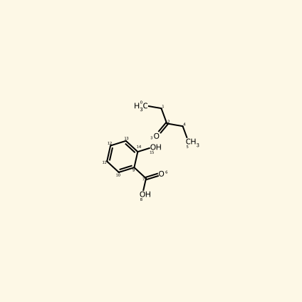 CCC(=O)CC.O=C(O)c1ccccc1O